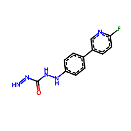 N=NC(=O)NNc1ccc(-c2ccc(F)nc2)cc1